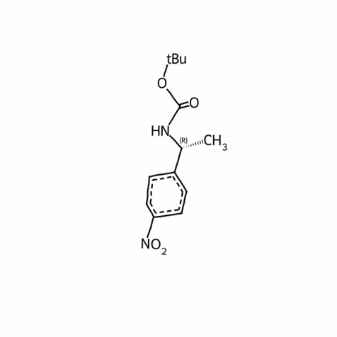 C[C@@H](NC(=O)OC(C)(C)C)c1ccc([N+](=O)[O-])cc1